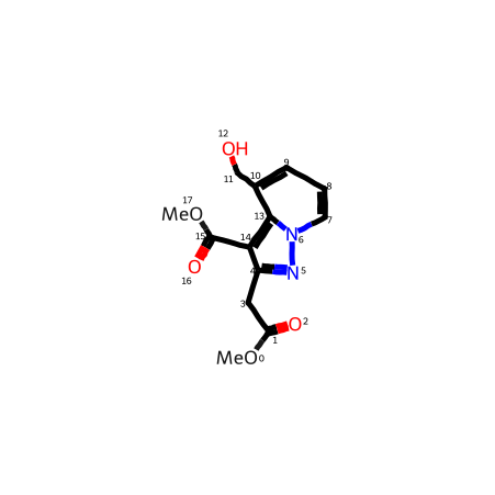 COC(=O)Cc1nn2cccc(CO)c2c1C(=O)OC